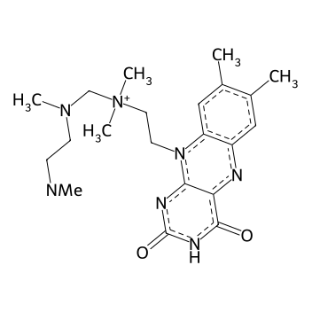 CNCCN(C)C[N+](C)(C)CCn1c2nc(=O)[nH]c(=O)c-2nc2cc(C)c(C)cc21